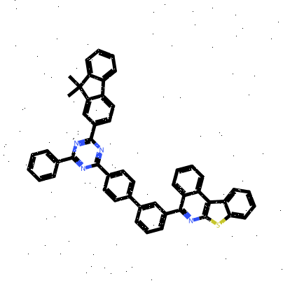 CC1(C)c2ccccc2-c2ccc(-c3nc(-c4ccccc4)nc(-c4ccc(-c5cccc(-c6nc7sc8ccccc8c7c7ccccc67)c5)cc4)n3)cc21